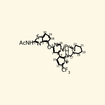 CC(=O)Nc1nc2c(Oc3cc(-c4ccc(C(F)(F)F)nc4NC[C@@H]4CCCCN4C(C)C)ncn3)cccc2s1